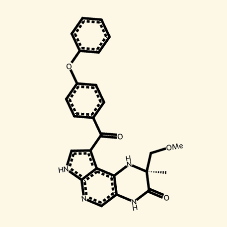 COC[C@]1(C)Nc2c(cnc3[nH]cc(C(=O)c4ccc(Oc5ccccc5)cc4)c23)NC1=O